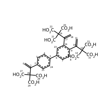 C=C(c1ccc(-c2ccc(C(=C)C(C(=O)O)(C(=O)O)C(=O)O)c(C(=C)C(C(=O)O)(C(=O)O)C(=O)O)c2)cc1)C(C(=O)O)(C(=O)O)C(=O)O